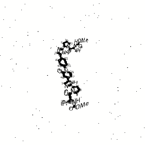 COC(=O)NC(C(=O)N1CCC[C@H]1c1ncc(-c2ccn(-c3ccc(-c4cnc([C@@H]5CCCN5C(=O)[C@@H](NC(=O)OC)C(C)C)[nH]4)cc3)c(=O)c2)[nH]1)C(C)C